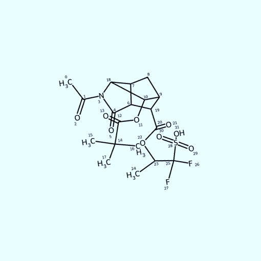 CC(=O)N1C(=O)C2C3CC(C(OC(=O)C(C)(C)C)C31)C2C(=O)OC(C)C(F)(F)S(=O)(=O)O